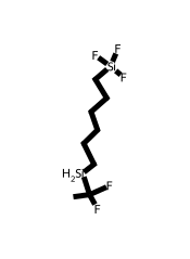 CC(F)(F)[SiH2]CCCCCC[Si](F)(F)F